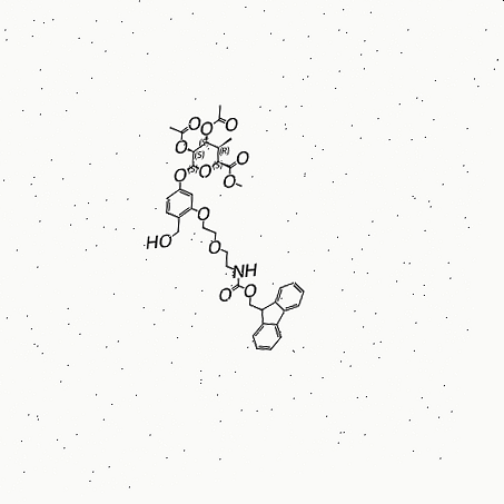 COC(=O)[C@H]1O[C@@H](Oc2ccc(CO)c(OCCOCCNC(=O)OCC3c4ccccc4-c4ccccc43)c2)[C@@H](OC(C)=O)[C@@H](OC(C)=O)[C@H]1C